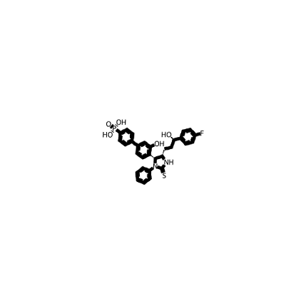 O=P(O)(O)c1ccc(-c2ccc([C@@H]3[C@H](CC[C@H](O)c4ccc(F)cc4)NC(=S)N3c3ccccc3)c(O)c2)cc1